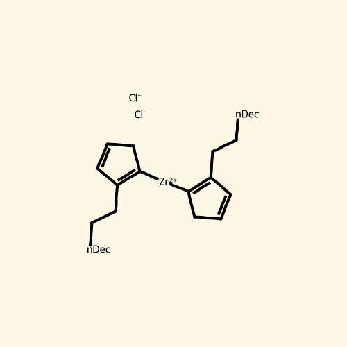 CCCCCCCCCCCCC1=[C]([Zr+2][C]2=C(CCCCCCCCCCCC)C=CC2)CC=C1.[Cl-].[Cl-]